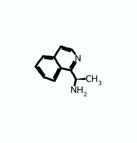 C[C@@H](N)c1nccc2ccccc12